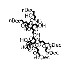 CCCCCCCCCCCC(=O)O[C@H](CCCCCCCCCCC)CC(=O)N[C@H]1C(OC(=O)C[C@H](O)CCCCCCCCCCC)[C@H](OP(=O)(O)O)C(CO)O[C@H]1OCC1OC(O)C(NC(=O)C[C@H](O)CCCCCCCCCCC)[C@@H](OC(=O)C[C@H](O)CCCCCCCCCCC)[C@@H]1O